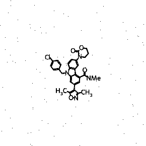 CNC(=O)c1cc(-c2c(C)noc2C)cc2c1c1cc(N3CCCOC3=O)ccc1n2Cc1ccc(Cl)cc1